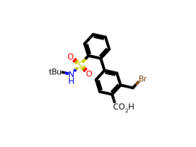 CC(C)(C)NS(=O)(=O)c1ccccc1-c1ccc(C(=O)O)c(CBr)c1